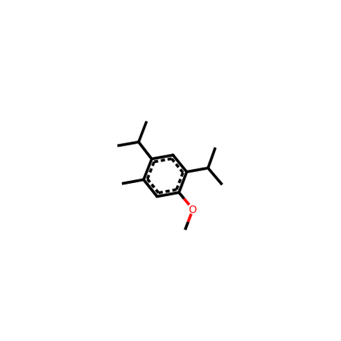 COc1cc(C)c(C(C)C)cc1C(C)C